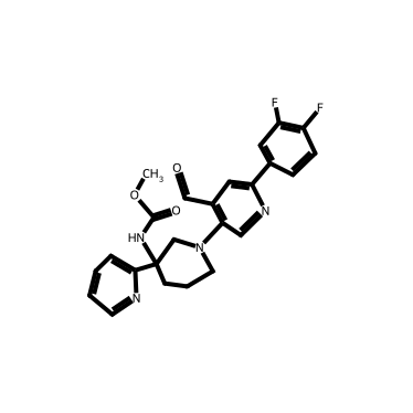 COC(=O)NC1(c2ccccn2)CCCN(c2cnc(-c3ccc(F)c(F)c3)cc2C=O)C1